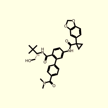 CN(C)C(=O)c1ccc(-c2cc(NC(=O)C3(c4ccc5c(c4)OCO5)CC3)ccc2C(=O)N[C@H](CO)C(C)(C)C)cc1